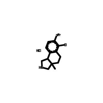 CCCc1ccc2c(c1Cl)CCC1(C)CNCC21.Cl